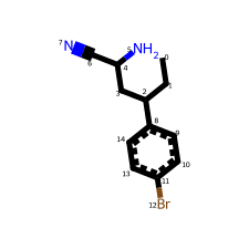 CCC(CC(N)C#N)c1ccc(Br)cc1